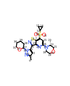 Cc1cc(-c2nsc3c(S(=O)(=O)C4CC4)cc(N4CCOC[C@H]4C)nc23)n(C2CCCCO2)n1